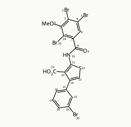 COc1c(Br)c(Br)cc(C(=O)Nc2scc(-c3cccc(Br)c3)c2C(=O)O)c1Br